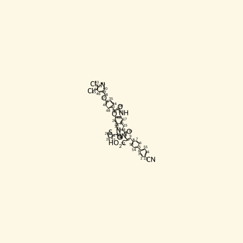 N#Cc1ccc(-c2ccc(CC(NC(=O)C3Cc4cc5c(cc4CN3C(=O)c3cccs3)OC(c3ccc(OCc4cnc(Cl)c(Cl)c4)cc3)C(=O)N5)C(=O)O)cc2)cc1